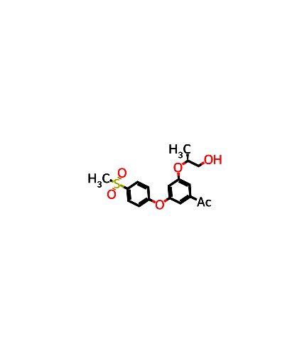 CC(=O)c1cc(Oc2ccc(S(C)(=O)=O)cc2)cc(O[C@@H](C)CO)c1